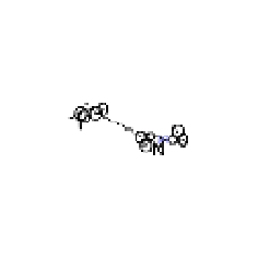 C=CCOCC(CC)(COCC=C)COC(=O)CCCCCCCCCCOc1ccc(/C=C(\C#N)c2ccc(OC)c(OC)c2)cc1OC